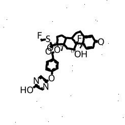 C[C@]12C=CC(=O)C=C1CCC1C3CC[C@](OC(=O)c4ccc(Oc5cnc(O)cn5)cc4)(C(=O)SCF)[C@@]3(C)C[C@H](O)C12F